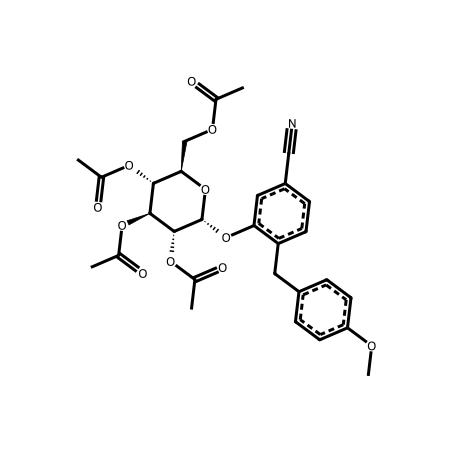 COc1ccc(Cc2ccc(C#N)cc2O[C@H]2O[C@H](COC(C)=O)[C@@H](OC(C)=O)[C@H](OC(C)=O)[C@H]2OC(C)=O)cc1